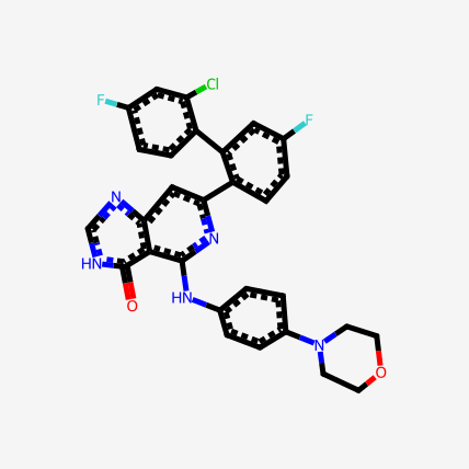 O=c1[nH]cnc2cc(-c3ccc(F)cc3-c3ccc(F)cc3Cl)nc(Nc3ccc(N4CCOCC4)cc3)c12